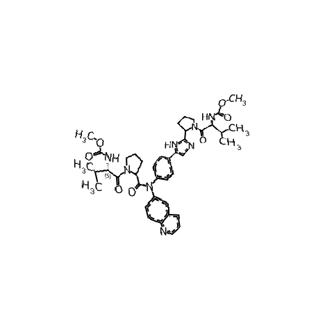 COC(=O)NC(C(=O)N1CCCC1c1ncc(-c2ccc(N(C(=O)C3CCCN3C(=O)[C@@H](NC(=O)OC)C(C)C)c3ccc4ncccc4c3)cc2)[nH]1)C(C)C